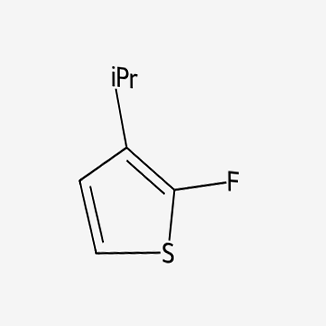 CC(C)c1ccsc1F